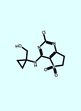 O=S1(=O)CCc2nc(Cl)nc(NC3(CO)CC3)c21